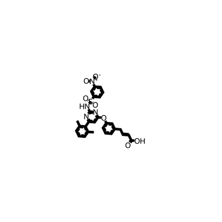 Cc1cccc(C)c1-c1cc(Oc2cccc(C/C=C/C(=O)O)c2)nc(NS(=O)(=O)c2cccc([N+](=O)[O-])c2)n1